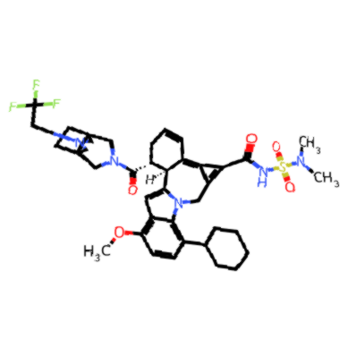 COc1ccc(C2CCCCC2)c2c1cc1n2CC2=C(C(=O)NS(=O)(=O)N(C)C)C2=C2C=CC[C@@H](C(=O)N3CC45CCC4(CN(CC(F)(F)F)C5)C3)[C@@H]21